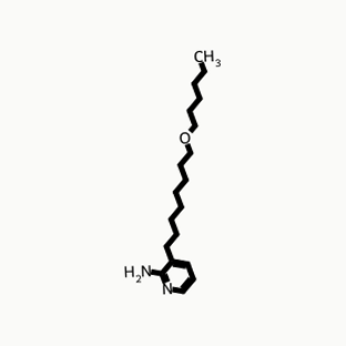 CCCCCCOCCCCCCCCc1cccnc1N